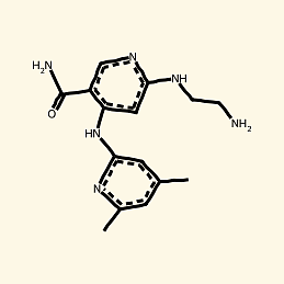 Cc1cc(C)nc(Nc2cc(NCCN)ncc2C(N)=O)c1